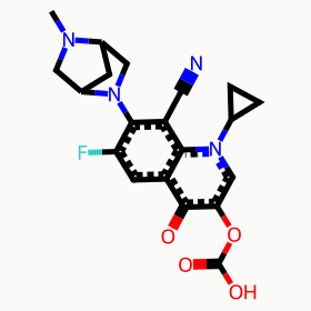 CN1CC2CC1CN2c1c(F)cc2c(=O)c(OC(=O)O)cn(C3CC3)c2c1C#N